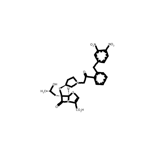 C[C@H](O)C[C@@]1(S[C@H]2CCN(CC(=O)c3ccccc3Cc3ccc([N+](=O)[O-])c([N+](=O)[O-])c3)C2)C(=O)N2C(C(=O)O)=CS[C@@H]21